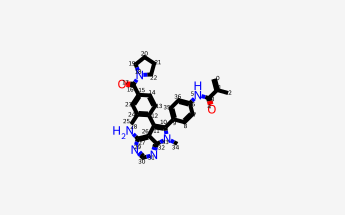 C=C(C)C(=O)Nc1ccc(-c2c(-c3ccc(C(=O)N4CCCC4)cc3C)c3c(N)ncnc3n2C)cc1